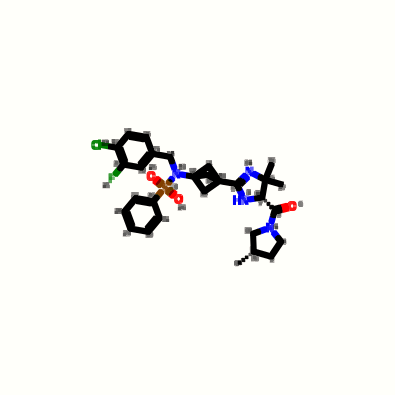 C[C@H]1CCN(C(=O)[C@@H]2NC(C34CC(N(Cc5ccc(Cl)c(F)c5)S(=O)(=O)c5ccccc5)(C3)C4)=NC2(C)C)C1